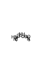 NC(=O)C(=Cc1c[nH]c2ncccc12)c1ccc(OCC(=O)N2CCCC2)cc1